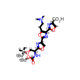 CN(C)CCc1oc(-c2coc(C(CO[Si](C)(C)C(C)(C)C)NC(=O)OC(C)(C)C)n2)nc1-c1nc(C(=O)O)co1